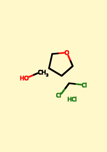 C1CCOC1.CO.Cl.ClCCl